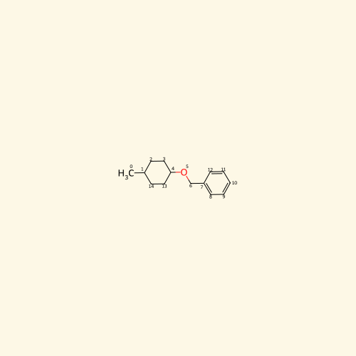 CC1CCC(OCc2ccccc2)CC1